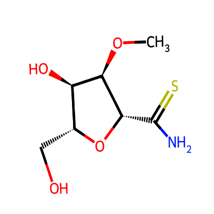 CO[C@@H]1[C@H](O)[C@@H](CO)O[C@H]1C(N)=S